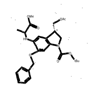 COC(=O)C(C)Nc1cc2c(cc1OCc1ccccc1)N(C(=O)OC(C)(C)C)C[C@H]2COC(C)=O